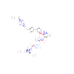 Cc1cc(C(=O)N[C@H]2CC[C@@H](NC(=O)c3cc(F)cnc3Oc3cccc(-c4ccc(CCCN5CCN(C)CC5)cc4)c3)CC2)nn1C